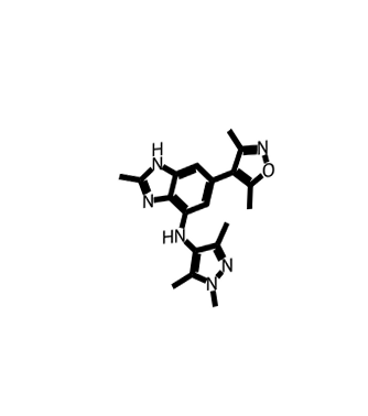 Cc1nc2c(Nc3c(C)nn(C)c3C)cc(-c3c(C)noc3C)cc2[nH]1